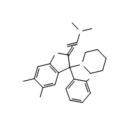 COc1ccccc1C1(N2CCCC[C@H]2C(=O)N(C)C)C(=O)Nc2cc(Cl)c(Cl)cc21